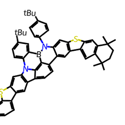 CC(C)(C)c1ccc(N2B3c4cc(C(C)(C)C)ccc4-n4c5cc6sc7ccccc7c6cc5c5ccc(c3c54)-c3cc4c(cc32)sc2cc3c(cc24)C(C)(C)CCC3(C)C)cc1